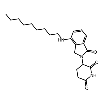 CCCCCCCCCNc1cccc2c1CN(C1CCC(=O)NC1=O)C2=O